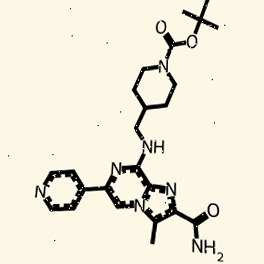 Cc1c(C(N)=O)nc2c(NCC3CCN(C(=O)OC(C)(C)C)CC3)nc(-c3ccncc3)cn12